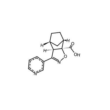 O=C(O)[C@]12ON=C(c3cccnc3)[C@H]1[C@@H]1CC[C@H]2C1